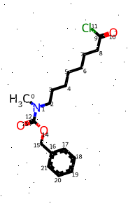 CN(CCCCCCCC(=O)Cl)C(=O)OCc1ccccc1